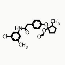 Cc1cc(Cl)cc(NC(=O)Cc2ccc(OC3(OC=O)CCCC3C)cc2)c1